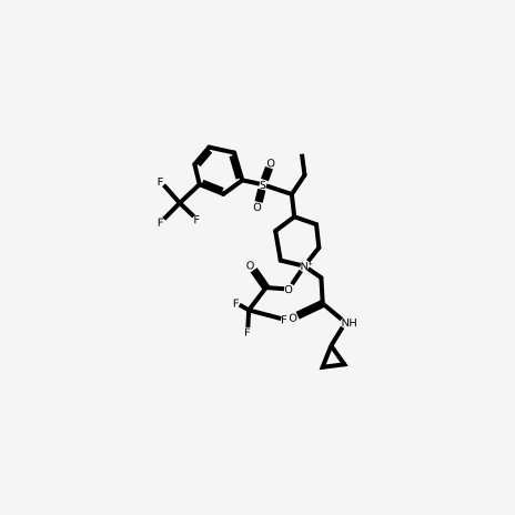 CCC(C1CC[N+](CC(=O)NC2CC2)(OC(=O)C(F)(F)F)CC1)S(=O)(=O)c1cccc(C(F)(F)F)c1